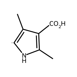 Cc1[c][nH]c(C)c1C(=O)O